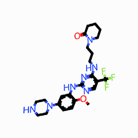 COc1ccc(N2CCNCC2)cc1Nc1ncc(C(F)(F)F)c(NCCCN2CCCCC2=O)n1